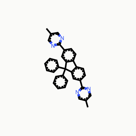 Cc1cnc(-c2ccc3c(c2)C(c2ccccc2)(c2ccccc2)c2cc(-c4ncc(C)cn4)ccc2-3)nc1